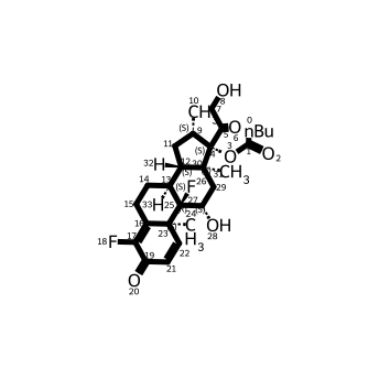 CCCCC(=O)O[C@@]1(C(=O)CO)[C@@H](C)C[C@H]2[C@@H]3CCC4=C(F)C(=O)C=C[C@]4(C)[C@@]3(F)[C@@H](O)C[C@@]21C